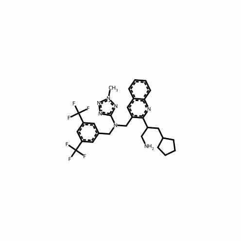 Cn1nnc(N(Cc2cc(C(F)(F)F)cc(C(F)(F)F)c2)Cc2cc3ccccc3nc2C(CN)CC2CCCC2)n1